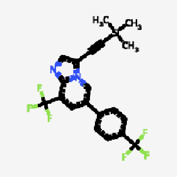 C[Si](C)(C)C#Cc1cnc2c(C(F)(F)F)cc(-c3ccc(C(F)(F)F)cc3)cn12